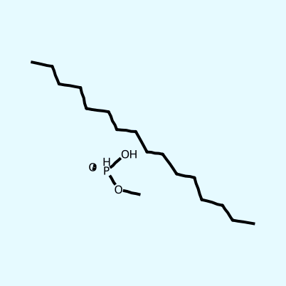 CCCCCCCCCCCCCCCC.CO[PH](=O)O